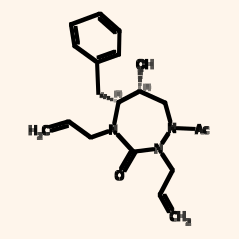 C=CCN1C(=O)N(CC=C)N(C(C)=O)C[C@@H](O)[C@H]1Cc1ccccc1